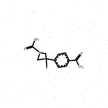 CC(=O)c1ccc(C2(F)CN(C(=O)O)C2)cc1